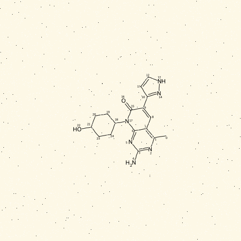 Cc1nc(N)nc2c1cc(-c1cc[nH]n1)c(=O)n2C1CCC(O)CC1